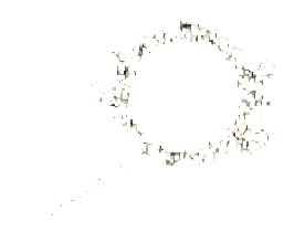 CCCC[C@H]1C(=O)N(C)[C@@H](CCCC)C(=O)N[C@@H](CC(C)C)C(=O)N[C@H](CC(=O)CCCCCCCCCCCCCCC(=O)O)CSCC(=O)N[C@@H](Cc2ccc(O)cc2)C(=O)N(C)[C@@H](C)C(=O)N[C@@H](CC(N)=O)C(=O)N2CCCC2C(=O)N[C@@H](CN)C(=O)N[C@@H](CC(C)C)C(=O)N2CCCC2C(=O)N[C@@H](Cc2c[nH]c3ccccc23)C(=O)N[C@@H](CCN)C(=O)N[C@@H](Cc2cn(CC(=O)O)c3ccccc23)C(=O)N1C